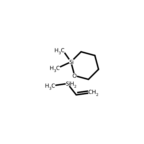 C=C[SiH2]C.C[Si]1(C)CCCCO1